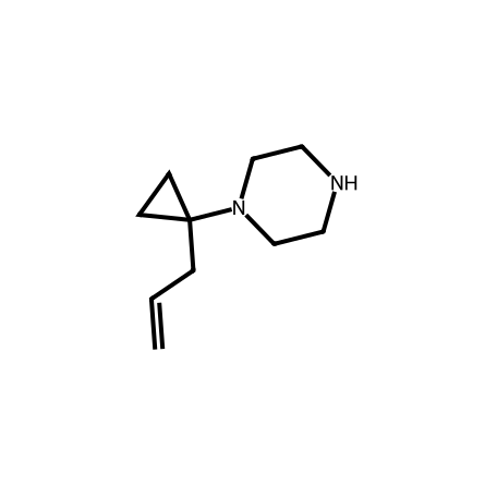 C=CCC1(N2CCNCC2)CC1